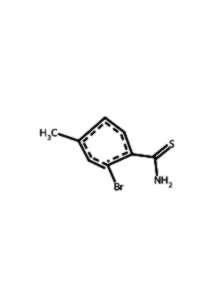 Cc1ccc(C(N)=S)c(Br)c1